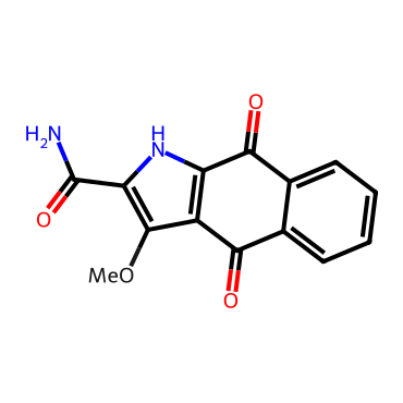 COc1c(C(N)=O)[nH]c2c1C(=O)c1ccccc1C2=O